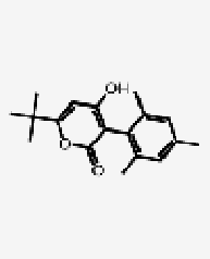 Cc1cc(C)c(-c2c(O)cc(C(C)(C)C)oc2=O)c(C)c1